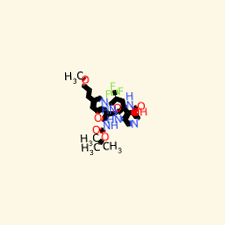 COCCCc1cnc2c(C(=O)Nc3cnccc3[C@]3(NC(=O)O)CNC[C@H](C(F)(F)F)C3)c(NC(=O)OC(C)(C)C)oc2c1